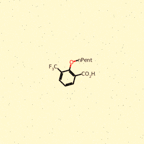 CCCCCOc1c(C(=O)O)cccc1C(F)(F)F